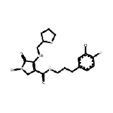 CCN1CC(C(=O)NCCCc2ccc(Cl)c(Cl)c2)=C(NCC2CCCO2)C1=O